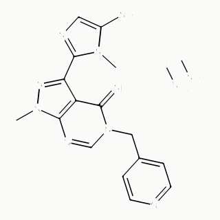 Cn1c([N+](=O)[O-])cnc1-c1nn(C)c2ncn(Cc3ccncc3)c(=N)c12.O=[N+]([O-])O.O=[N+]([O-])O